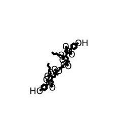 CCCCOC(=O)C(CC(C)(C)C(=O)OCCOC(=O)C(C)(C)CC(C(=O)OCCCC)C1=CC(=O)N(c2ccc(O)cc2)C1=O)C1=CC(=O)N(c2ccc(O)cc2)C1=O